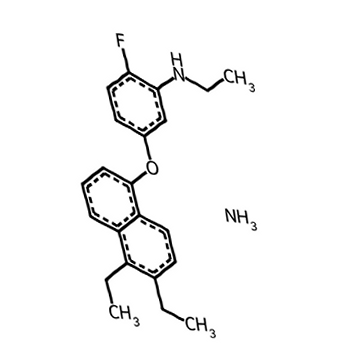 CCNc1cc(Oc2cccc3c(CC)c(CC)ccc23)ccc1F.N